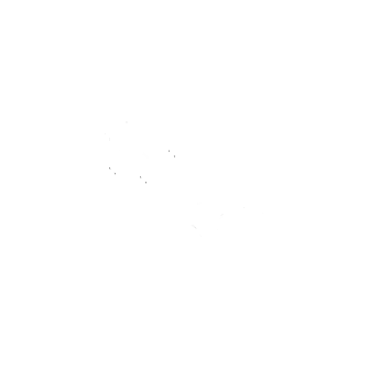 CC(Cc1ccc(Cl)c(C(F)(F)F)c1)Nc1ncnc2sccc12